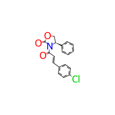 O=C(/C=C/c1ccc(Cl)cc1)N1C(=O)OC[C@H]1c1ccccc1